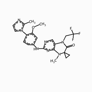 COc1cc(Nc2ncc3c(n2)N(C)C2(CC2)C(=O)N3CC(F)(F)F)ccc1-n1ccnc1C